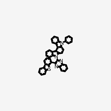 c1ccc(-n2c3ccccc3c3c4c5ccccc5n(-c5nc6ccccc6nc5-c5cccc6c5sc5ccccc56)c4ccc32)cc1